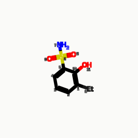 CCc1cccc(S(N)(=O)=O)c1O